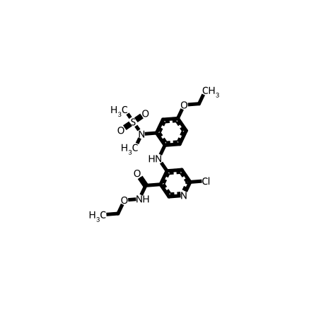 CCONC(=O)c1cnc(Cl)cc1Nc1ccc(OCC)cc1N(C)S(C)(=O)=O